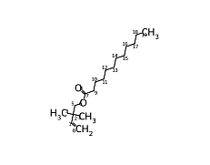 C=CC(C)(C)COC(=O)CCCCCCCCCCC